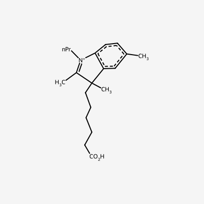 CCC[N+]1=C(C)C(C)(CCCCCC(=O)O)c2cc(C)ccc21